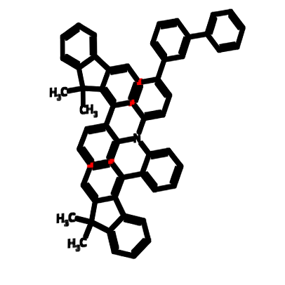 CC1(C)c2ccccc2-c2c(-c3ccccc3N(c3ccc(-c4cccc(-c5ccccc5)c4)cc3)c3ccccc3-c3cccc4c3C(C)(C)c3ccccc3-4)cccc21